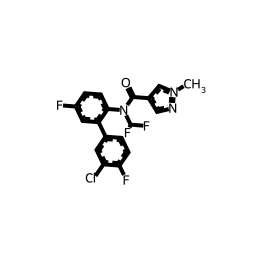 Cn1cc(C(=O)N(c2ccc(F)cc2-c2ccc(F)c(Cl)c2)C(F)F)cn1